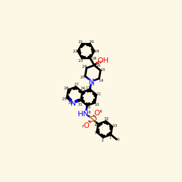 Cc1ccc(S(=O)(=O)Nc2ccc(N3CCC(O)(c4ccccc4)CC3)c3cccnc23)cc1